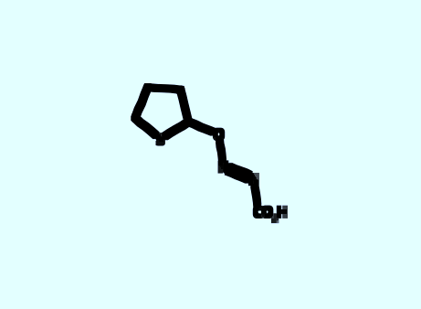 O=C(O)N=NOC1CCCS1